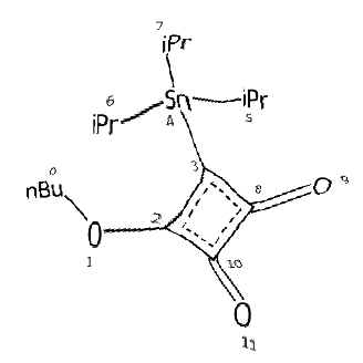 CCCCOc1[c]([Sn]([CH](C)C)([CH](C)C)[CH](C)C)c(=O)c1=O